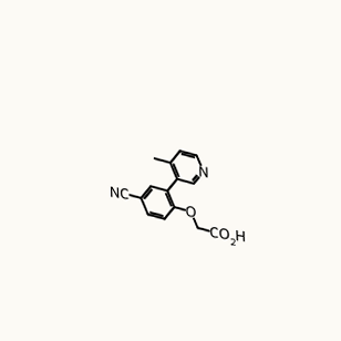 Cc1ccncc1-c1cc(C#N)ccc1OCC(=O)O